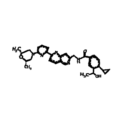 CC(O)c1cc(C(=O)NCc2cc3nc(-c4cccc(N5C[C@@H](C)O[C@@H](C)C5)n4)ccc3cn2)ccc1C1CC1